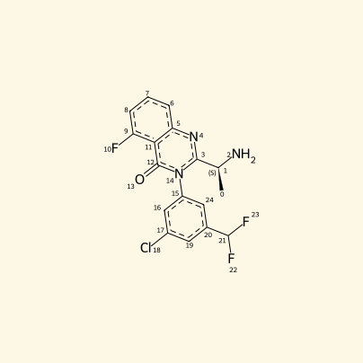 C[C@H](N)c1nc2cccc(F)c2c(=O)n1-c1cc(Cl)cc(C(F)F)c1